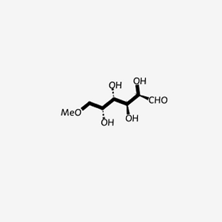 COC[C@@H](O)[C@H](O)[C@H](O)[C@@H](O)C=O